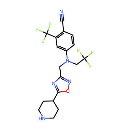 N#Cc1ccc(N(Cc2noc(C3CCNCC3)n2)CC(F)(F)F)cc1C(F)(F)F